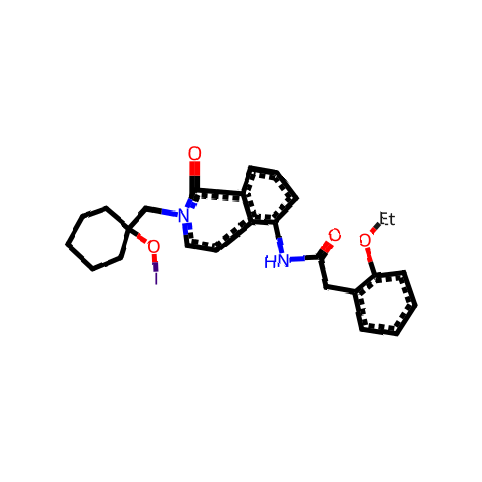 CCOc1ccccc1CC(=O)Nc1cccc2c(=O)n(CC3(OI)CCCCC3)ccc12